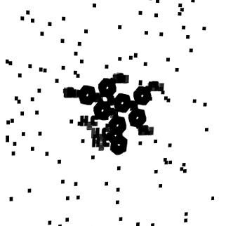 Cc1cc2c3c(c1)N(c1ccc4c(c1)C(C)(C)c1ccccc1-4)c1cc(N(c4ccc(C(C)(C)C)cc4)c4ccc(C(C)(C)C)cc4)ccc1B3c1cc(C(C)(C)C)ccc1N2c1ccc(C(C)(C)C)cc1